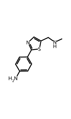 CNCc1cnc(-c2ccc(N)cc2)s1